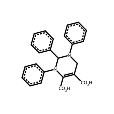 O=C(O)C1=C(C(=O)O)N(c2ccccc2)C(c2ccccc2)N(c2ccccc2)C1